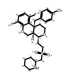 O=S(=O)(CC[C@@H]1OCC[C@@]2(Cc3ccc(Cl)cc3)c3c(F)ccc(F)c3OC[C@@H]12)C[C@@H]1CCCCN1